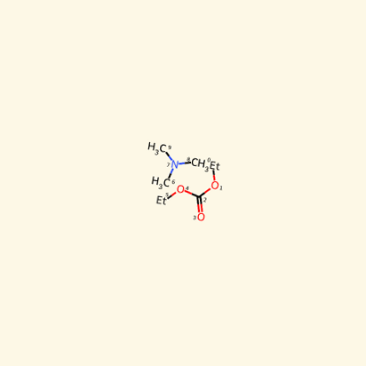 CCOC(=O)OCC.CN(C)C